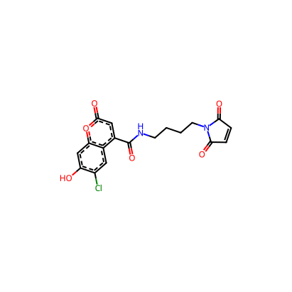 O=C(NCCCCN1C(=O)C=CC1=O)c1cc(=O)oc2cc(O)c(Cl)cc12